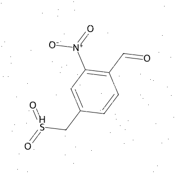 O=Cc1ccc(C[SH](=O)=O)cc1[N+](=O)[O-]